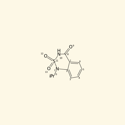 CC(C)N1c2ccccc2C(=O)NS1(=O)=O